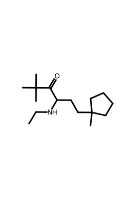 CCNC(CCC1(C)CCCC1)C(=O)C(C)(C)C